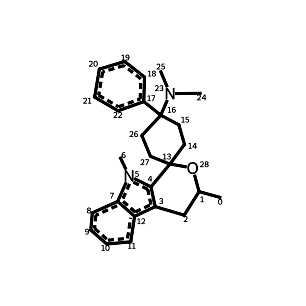 CC1Cc2c(n(C)c3ccccc23)C2(CCC(c3ccccc3)(N(C)C)CC2)O1